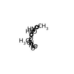 Cc1ccc(NC(=O)Nc2ccc(OC[C@@]3(C)Cn4cc([N+](=O)[O-])nc4O3)cc2)cc1